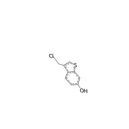 Oc1ccc2c(CCl)csc2c1